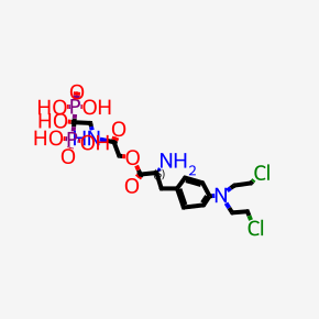 N[C@@H](Cc1ccc(N(CCCl)CCCl)cc1)C(=O)OCC(=O)NCC(O)(P(=O)(O)O)P(=O)(O)O